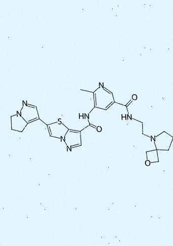 Cc1ncc(C(=O)NCCN2CCCC23COC3)cc1NC(=O)c1cnn2cc(-c3cnn4c3CCC4)sc12